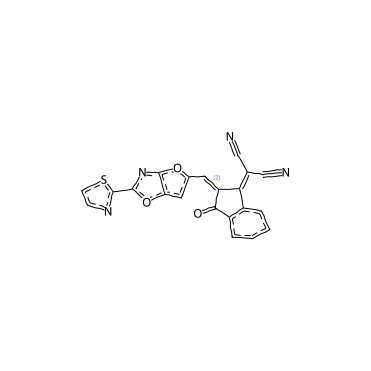 N#CC(C#N)=C1/C(=C/c2cc3oc(-c4nccs4)nc3o2)C(=O)c2ccccc21